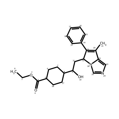 CCOC(=O)C1CCC(C(O)CC2C(c3ccccc3)=C(C)c3cncn32)CC1